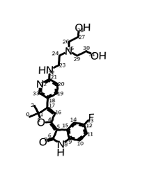 CC1(C)OC(=C2C(=O)Nc3ccc(F)cc32)C=C1c1ccc(NCCN(CCO)CCO)nc1